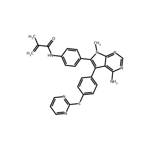 C=C(C)C(=O)Nc1ccc(-c2c(-c3ccc(Sc4ncccn4)cc3)c3c(N)ncnc3n2C)cc1